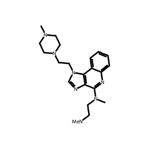 CNCCN(C)c1nc2ccccc2c2c1ncn2CCN1CCN(C)CC1